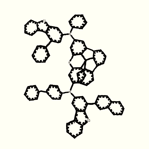 c1ccc(-c2ccc(N(c3ccc4c(c3)Sc3cc(N(c5ccccc5)c5cc(-c6ccccc6)c6c(c5)oc5ccccc56)cc5c3C43c4ccccc4-c4cccc-5c43)c3cc(-c4ccc5ccccc5c4)c4oc5ccccc5c4c3)cc2)cc1